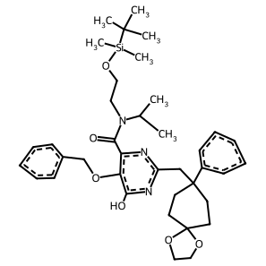 CC(C)N(CCO[Si](C)(C)C(C)(C)C)C(=O)c1nc(CC2(c3ccccc3)CCC3(CC2)OCCO3)nc(O)c1OCc1ccccc1